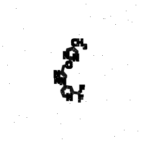 Cc1cnc(OCc2cn(-c3ccnc(C(F)F)c3)nn2)nc1